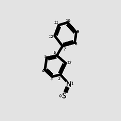 S=Nc1cccc(-c2ccccc2)c1